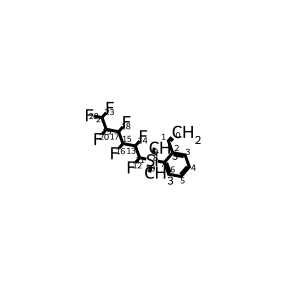 C=Cc1ccccc1[Si](C)(C)C(F)C(F)C(F)C(F)C(F)C(F)F